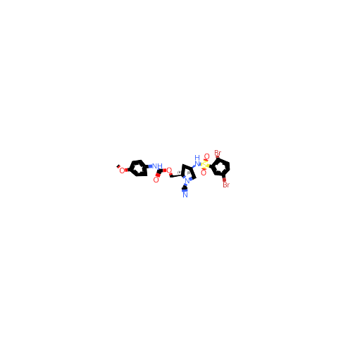 COc1ccc(NC(=O)OC[C@H]2C[C@@H](NS(=O)(=O)c3cc(Br)ccc3Br)CN2C#N)cc1